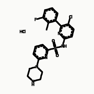 Cc1c(F)cccc1-c1nc(NS(=O)(=O)c2cccc(N3CCNCC3)n2)ccc1Cl.Cl